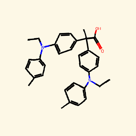 CCN(c1ccc(C)cc1)c1ccc(C(C)(C(=O)O)c2ccc(N(CC)c3ccc(C)cc3)cc2)cc1